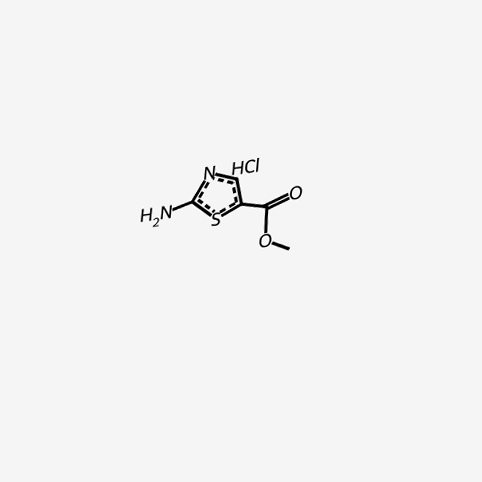 COC(=O)c1cnc(N)s1.Cl